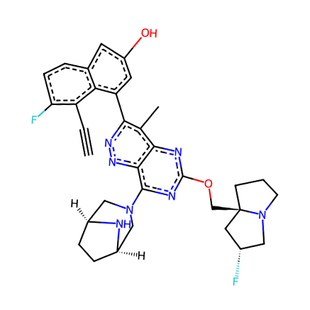 C#Cc1c(F)ccc2cc(O)cc(-c3nnc4c(N5C[C@H]6CC[C@@H](C5)N6)nc(OC[C@@]56CCCN5C[C@H](F)C6)nc4c3C)c12